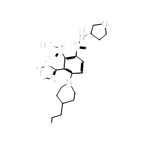 NS(=O)(=O)c1c(S(=O)(=O)N[C@@H]2CCNC2)ccc(N2CCC(CCF)CC2)c1-c1nnn[nH]1